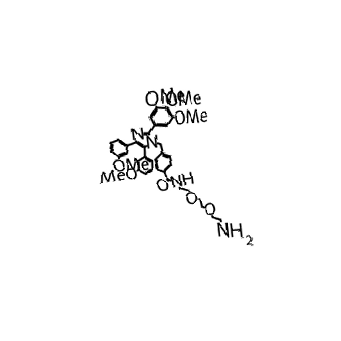 COc1cccc(-c2nc(-c3cc(OC)c(OC)c(OC)c3)n(Cc3ccc(C(=O)NCCOCCOCCN)cc3)c2-c2cccc(OC)c2)c1